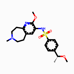 COc1nc2c(cc1NS(=O)(=O)c1ccc([C@@H](C)OC)cc1)CCN(C)CC2